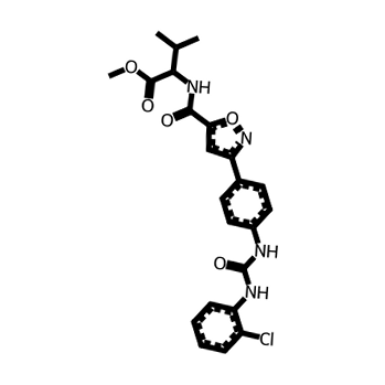 COC(=O)C(NC(=O)c1cc(-c2ccc(NC(=O)Nc3ccccc3Cl)cc2)no1)C(C)C